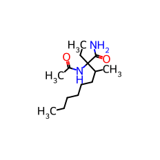 CCCCCCC(C)C(CC)(NC(C)=O)C(N)=O